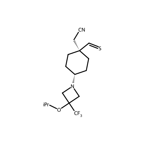 CC(C)OC1(C(F)(F)F)CN([C@H]2CC[C@@](C=S)(CC#N)CC2)C1